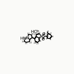 Cc1ccccc1S(=O)(=O)n1ccc2c(C3CCN4NCCCC34)cccc21.Cl